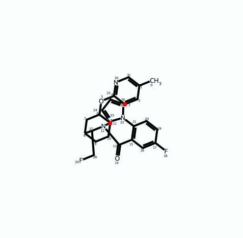 Cc1ccc(OC2CC3CCC2N(C(=O)c2cc(F)ccc2-n2nccn2)C3CF)nc1